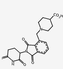 O=C1CCC(N2C(=O)c3cccc(CN4CCC(C(=O)O)CC4)c3C2=O)C(=O)N1